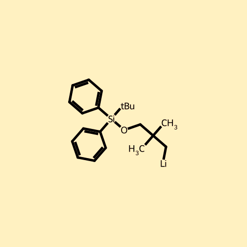 [Li][CH2]C(C)(C)CO[Si](c1ccccc1)(c1ccccc1)C(C)(C)C